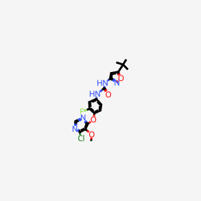 COc1c(Cl)ncnc1Oc1ccc(NC(=O)Nc2cc(C(C)(C)C)on2)cc1F